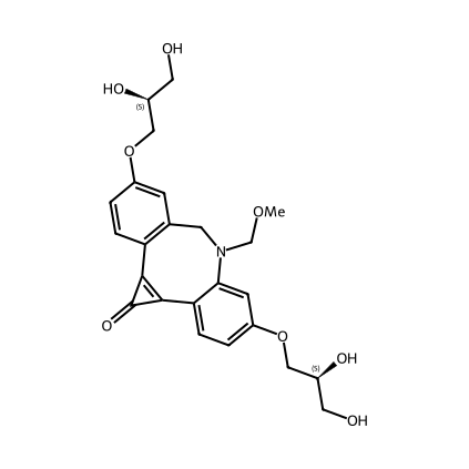 COCN1Cc2cc(OC[C@@H](O)CO)ccc2-c2c(c2=O)-c2ccc(OC[C@@H](O)CO)cc21